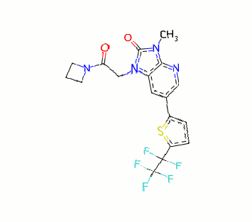 Cn1c(=O)n(CC(=O)N2CCC2)c2cc(-c3ccc(C(F)(F)C(F)(F)F)s3)cnc21